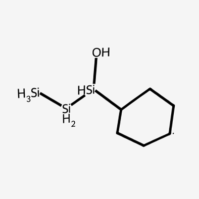 O[SiH]([SiH2][SiH3])C1CC[CH]CC1